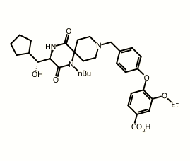 CCCCN1C(=O)[C@@H]([C@H](O)C2CCCC2)NC(=O)C12CCN(Cc1ccc(Oc3ccc(C(=O)O)cc3OCC)cc1)CC2